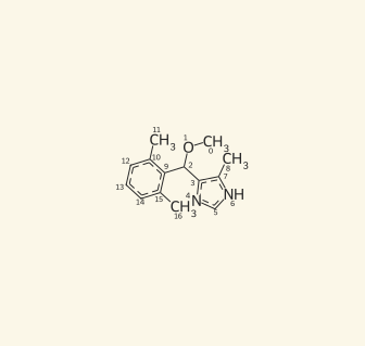 COC(c1nc[nH]c1C)c1c(C)cccc1C